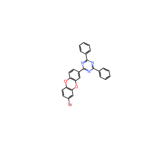 Brc1ccc2c(c1)Oc1cc(-c3nc(-c4ccccc4)nc(-c4ccccc4)n3)ccc1O2